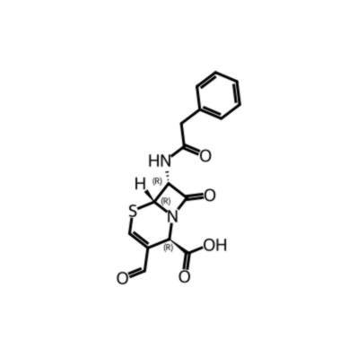 O=CC1=CS[C@@H]2[C@H](NC(=O)Cc3ccccc3)C(=O)N2[C@H]1C(=O)O